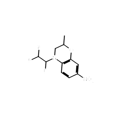 CC1CN(C(F)C(F)F)c2ccc([N+](=O)[O-])cc2O1